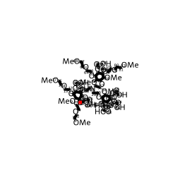 COCCOCCO[C@@H]1[C@@H](OC)[C@H](OCCOCCOC)[C@@H](OP(=O)(O)O)[C@@H](OCCN(CCOC2[C@@H](OC)[C@H](OP(=O)(O)O)[C@@H](OP(=O)(O)O)[C@H](OP(=O)(O)O)[C@H]2OC)CCO[C@H]2[C@@H](OC)[C@H](OCCOCCOC)[C@@H](OP(=O)(O)O)[C@H](OCCOCCOC)[C@H]2OC)[C@H]1OP(=O)(O)O